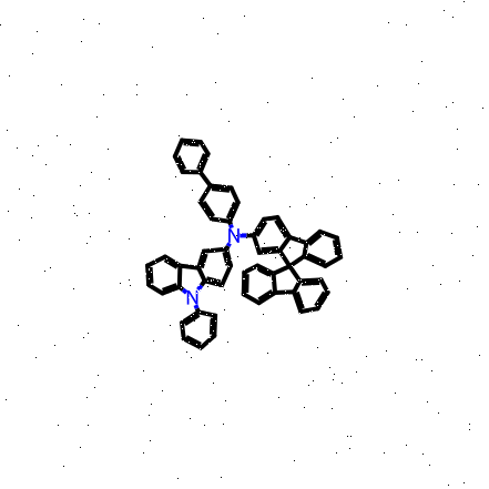 c1ccc(-c2ccc(N(c3ccc4c(c3)C3(c5ccccc5-c5ccccc53)c3ccccc3-4)c3ccc4c(c3)c3ccccc3n4-c3ccccc3)cc2)cc1